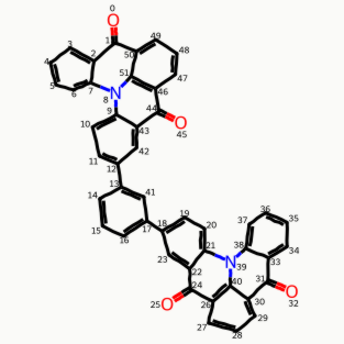 O=c1c2ccccc2n2c3ccc(-c4cccc(-c5ccc6c(c5)c(=O)c5cccc7c(=O)c8ccccc8n6c75)c4)cc3c(=O)c3cccc1c32